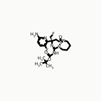 CC(C)(C)OC(=O)NC1=N[C@](CF)(c2nc(N)ccc2F)CS2(=O)=NCCCCN12